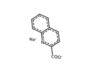 O=C([O-])c1ccc2ccccc2n1.[Na+]